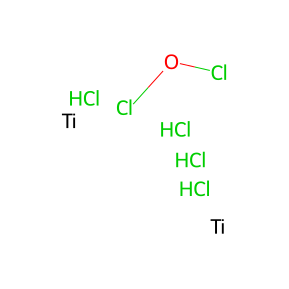 Cl.Cl.Cl.Cl.ClOCl.[Ti].[Ti]